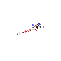 Cc1nc2ccc(NC(=O)CCOCCOCCOCCOCCNC(=O)c3ccc(C(=O)O)c(C4=c5cc6c7c(c5Oc5c4cc4c8c5CCCN8CCCC4)CCC[N+]=7CCCC6)c3)cc2s1